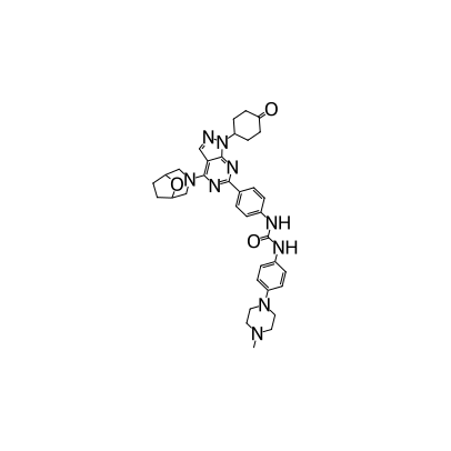 CN1CCN(c2ccc(NC(=O)Nc3ccc(-c4nc(N5CC6CCC(C5)O6)c5cnn(C6CCC(=O)CC6)c5n4)cc3)cc2)CC1